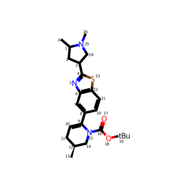 CC1CC(c2nc3cc(C4=CC[C@H](C)CN4C(=O)OC(C)(C)C)ccc3s2)CN1C